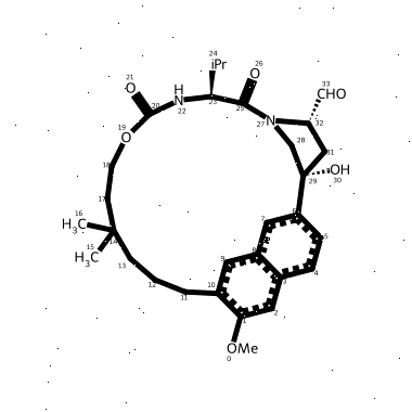 COc1cc2ccc3cc2cc1CCCC(C)(C)CCOC(=O)N[C@@H](C(C)C)C(=O)N1C[C@@]3(O)C[C@H]1C=O